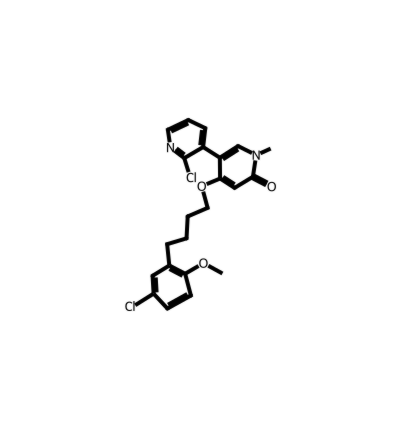 COc1ccc(Cl)cc1CCCCOc1cc(=O)n(C)cc1-c1cccnc1Cl